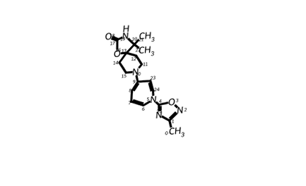 Cc1noc(N2C=CC=C(N3CCC4(CC3)OC(=O)NC4(C)C)C=C2)n1